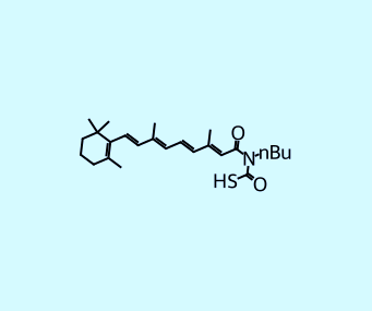 CCCCN(C(=O)S)C(=O)/C=C(C)/C=C/C=C(C)/C=C/C1=C(C)CCCC1(C)C